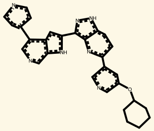 c1cc(-c2cncc3[nH]c(-c4n[nH]c5ccc(-c6cncc(OC7CCCCC7)c6)nc45)cc23)ccn1